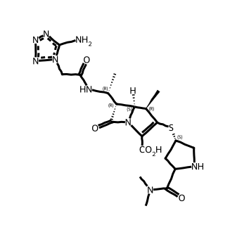 C[C@@H](NC(=O)Cn1nnnc1N)[C@H]1C(=O)N2C(C(=O)O)=C(S[C@@H]3CNC(C(=O)N(C)C)C3)[C@H](C)[C@H]12